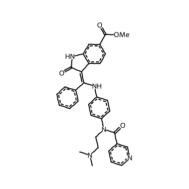 COC(=O)c1ccc2c(c1)NC(=O)C2=C(Nc1ccc(N(CCN(C)C)C(=O)c2cccnc2)cc1)c1ccccc1